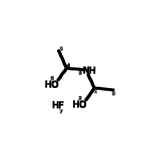 CC(O)NC(C)O.F